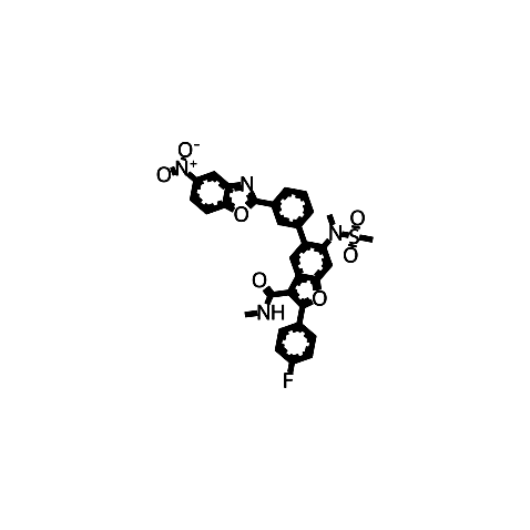 CNC(=O)c1c(-c2ccc(F)cc2)oc2cc(N(C)S(C)(=O)=O)c(-c3cccc(-c4nc5cc([N+](=O)[O-])ccc5o4)c3)cc12